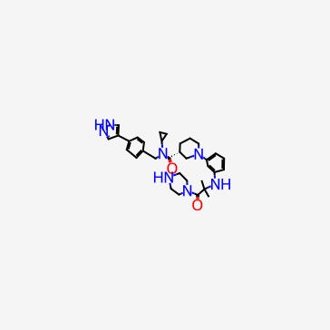 CC(C)(Nc1cccc(N2CCC[C@@H](C(=O)N(Cc3ccc(-c4cn[nH]c4)cc3)C3CC3)C2)c1)C(=O)N1CCNCC1